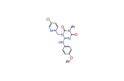 CC(C)Oc1ccc(Nc2nc(=O)n(C(C)C)c(=O)n2Cc2ccc(Cl)cn2)cc1